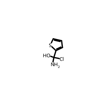 NC(O)(Cl)c1cccs1